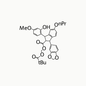 CCCOc1ccc2c(c1)C(c1ccc(OC)cc1O)C(C(=O)OCOC(=O)C(C)(C)C)C2c1ccc2c(c1)OCO2